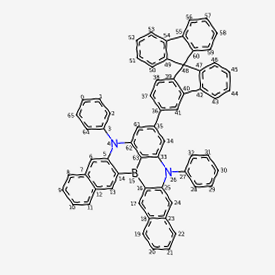 c1ccc(N2c3cc4ccccc4cc3B3c4cc5ccccc5cc4N(c4ccccc4)c4cc(-c5ccc6c(c5)-c5ccccc5C65c6ccccc6-c6ccccc65)cc2c43)cc1